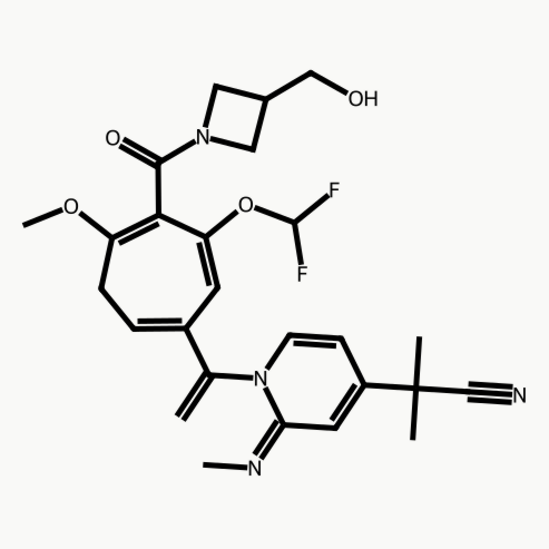 C=C(C1=CCC(OC)=C(C(=O)N2CC(CO)C2)C(OC(F)F)=C1)n1ccc(C(C)(C)C#N)c/c1=N/C